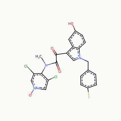 CN(C(=O)C(=O)c1cn(Cc2ccc(F)cc2)c2ccc(O)cc12)c1c(Cl)c[n+]([O-])cc1Cl